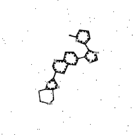 Cc1cccc(-c2[nH]cnc2-c2ccc3ncc(-c4nc5c(s4)CCNC5)cc3c2)n1